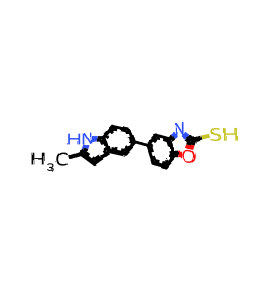 Cc1cc2cc(-c3ccc4oc(S)nc4c3)ccc2[nH]1